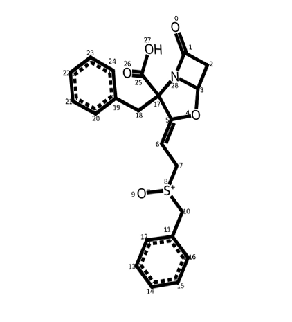 O=C1CC2OC(=CC[S+]([O-])Cc3ccccc3)C(Cc3ccccc3)(C(=O)O)N12